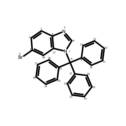 Brc1ccc2ncn(C(c3ccccc3)(c3ccccc3)c3ccccc3)c2c1